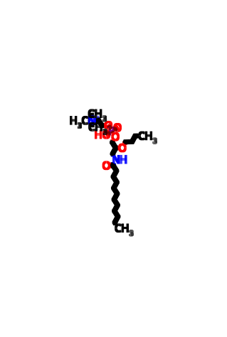 CCCCCCCCCCCC(=O)NCC(COP(=O)(O)OCC[N+](C)(C)C)OCCCC